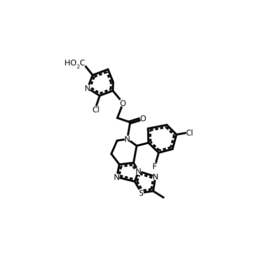 Cc1nn2c3c(nc2s1)CCN(C(=O)COc1ccc(C(=O)O)nc1Cl)C3c1ccc(Cl)cc1F